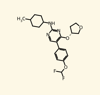 CC1CCC(Nc2ncc(-c3ccc(OC(F)F)cc3)c(O[C@@H]3CCOC3)n2)CC1